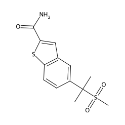 CC(C)(c1ccc2sc(C(N)=O)cc2c1)S(C)(=O)=O